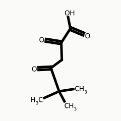 CC(C)(C)C(=O)CC(=O)C(=O)O